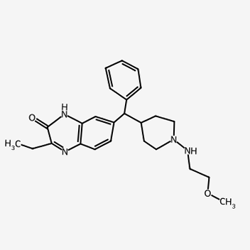 CCc1nc2ccc(C(c3ccccc3)C3CCN(NCCOC)CC3)cc2[nH]c1=O